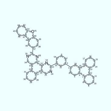 c1cc(-c2ccc3c4ccccc4c4ccccc4c3c2)cc(-c2ncc3c4ccccc4c4cnc(-c5ccc6oc7ccccc7c6c5)nc4c3n2)c1